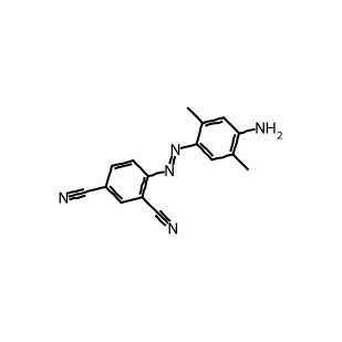 Cc1cc(N=Nc2ccc(C#N)cc2C#N)c(C)cc1N